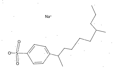 CCCC(C)CCCCC(C)c1ccc(S(=O)(=O)[O-])cc1.[Na+]